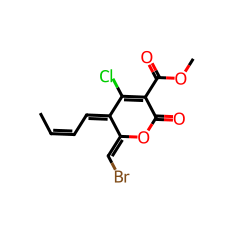 C\C=C/C=c1/c(Cl)c(C(=O)OC)c(=O)o/c1=C\Br